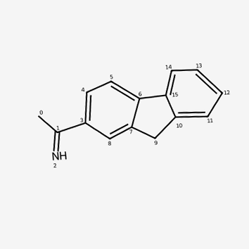 CC(=N)c1ccc2c(c1)Cc1ccccc1-2